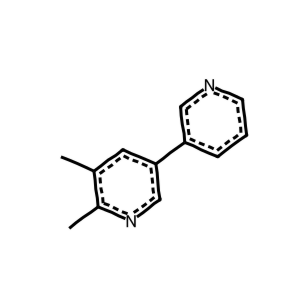 Cc1cc(-c2cccnc2)cnc1C